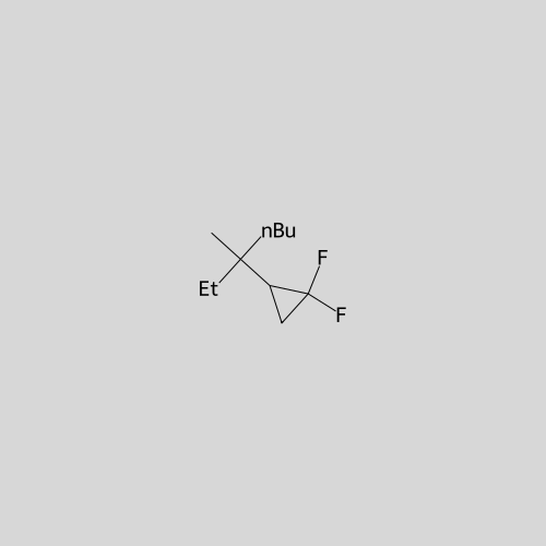 CCCCC(C)(CC)C1CC1(F)F